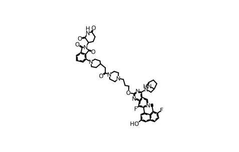 C#Cc1c(F)ccc2cc(O)cc(-c3ncc4c(N5CC6CCC(C5)N6)nc(OCCCN5CCN(C(=O)CC6CCN(c7cccc8c7C(=O)N(C7CCC(=O)NC7=O)C8=O)CC6)CC5)nc4c3F)c12